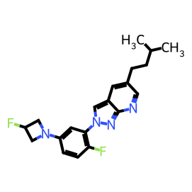 CC(C)CCc1cnc2nn(-c3cc(N4CC(F)C4)ccc3F)cc2c1